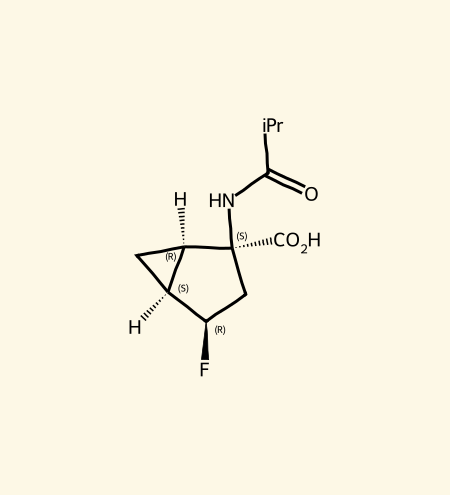 CC(C)C(=O)N[C@@]1(C(=O)O)C[C@@H](F)[C@H]2C[C@H]21